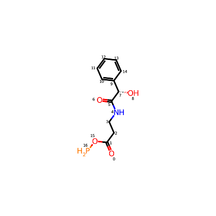 O=C(CCNC(=O)[C@@H](O)c1ccccc1)OP